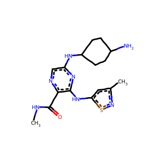 CNC(=O)c1ncc(NC2CCC(N)CC2)nc1Nc1cc(C)ns1